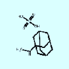 CNC12CC3CC(CC(C3)C1)C2.O=S(=O)(O)O